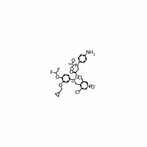 CS(=O)(=O)N(CC(=O)O[C@@H](Cc1c(Cl)c[n+]([O-])cc1Cl)c1ccc(OC(F)F)c(OCC2CC2)c1)c1ccc(N)cc1